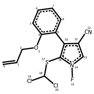 C=CCOc1ccccc1-c1c(C#N)cn(F)c1SC(Cl)Cl